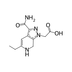 CCC1=Cc2c(C(N)=O)nn(CC(=O)O)c2CN1